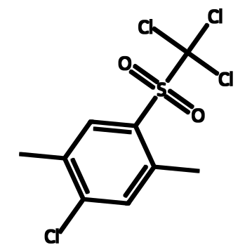 Cc1cc(S(=O)(=O)C(Cl)(Cl)Cl)c(C)cc1Cl